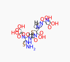 Nc1nc(/C(=N/O[C@@H](CC(=O)O)C(=O)O)C(=O)N[C@@H]2C(=O)N3C(C(=O)O)=C(C[N@+]45CCC[C@H]4CN(C(=O)c4cc(=O)c(O)cn4O)CC5)CS[C@H]23)cs1